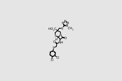 Cn1nnnc1SCC1(C(=O)O)CS[C@@H]2C(NC(=O)CSc3ccc(Cl)c(Cl)c3)C(=O)N2C1